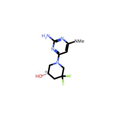 CNc1cc(N2C[C@@H](O)CC(F)(F)C2)nc(N)n1